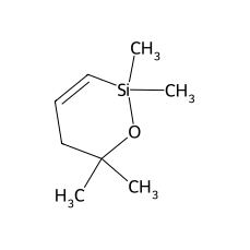 CC1(C)CC=C[Si](C)(C)O1